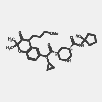 COCCCN1C(=O)C(C)(C)Oc2ccc(N(C(=O)[C@H]3CNC[C@@H](C(=O)NC4(C#N)CCCC4)C3)C3CC3)cc21